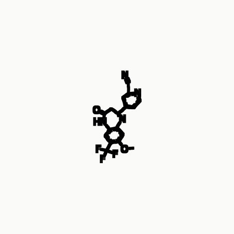 COc1cc2c(cc1C(F)(F)F)NC(=O)CC(c1ccnc(C#N)c1)=N2